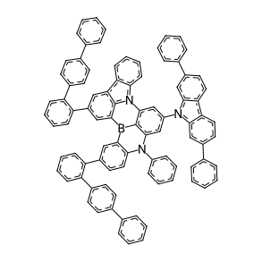 c1ccc(-c2ccc(-c3ccccc3-c3ccc4c(c3)B3c5c(cc(-n6c7cc(-c8ccccc8)ccc7c7ccc(-c8ccccc8)cc76)cc5-n5c6ccccc6c6cc(-c7ccccc7-c7ccc(-c8ccccc8)cc7)cc3c65)N4c3ccccc3)cc2)cc1